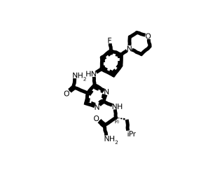 CC(C)C[C@@H](Nc1ncc(C(N)=O)c(Nc2ccc(N3CCOCC3)c(F)c2)n1)C(N)=O